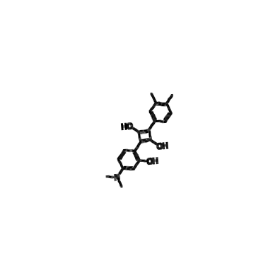 Cc1ccc(C2=C(O)C(c3ccc(N(C)C)cc3O)=C2O)cc1C